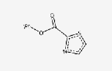 CC(C)OC(=O)c1nc[c]s1